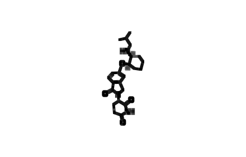 CC(C)CN[C@H]1CCCC[C@H]1Oc1ccc2c(c1)CN(C1CCC(=O)NC1=O)C2=O